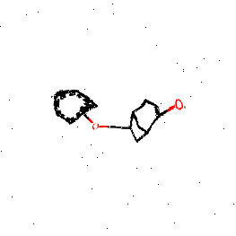 [O]C1CC2CC1CC2Oc1cc[c]cc1